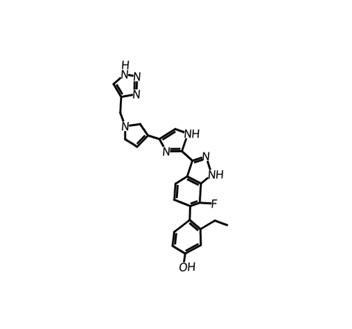 CCc1cc(O)ccc1-c1ccc2c(-c3nc(C4=CCN(Cc5c[nH]nn5)C4)c[nH]3)n[nH]c2c1F